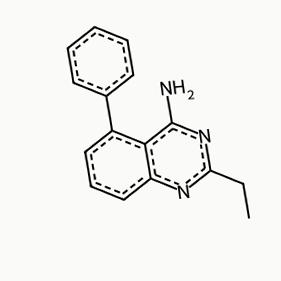 CCc1nc(N)c2c(-c3ccccc3)cccc2n1